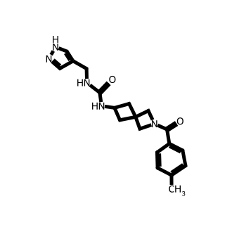 Cc1ccc(C(=O)N2CC3(CC(NC(=O)NCc4cn[nH]c4)C3)C2)cc1